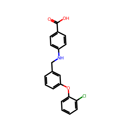 O=C(O)c1ccc(NCc2cccc(Oc3ccccc3Cl)c2)cc1